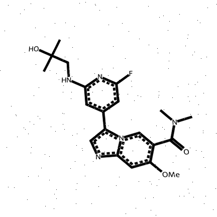 COc1cc2ncc(-c3cc(F)nc(NCC(C)(C)O)c3)n2cc1C(=O)N(C)C